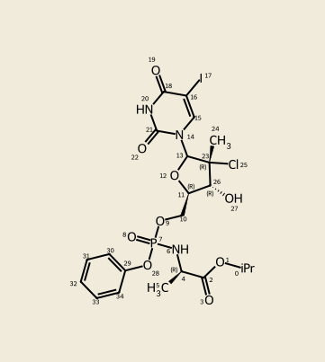 CC(C)OC(=O)[C@@H](C)NP(=O)(OC[C@H]1OC(n2cc(I)c(=O)[nH]c2=O)[C@](C)(Cl)[C@@H]1O)Oc1ccccc1